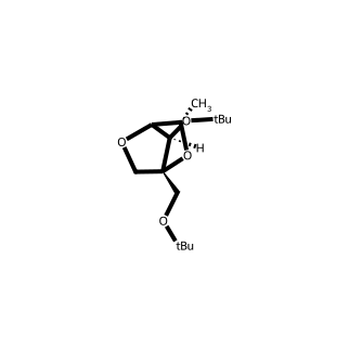 C[C@@H]1O[C@]2(COC(C)(C)C)COC1[C@H]2OC(C)(C)C